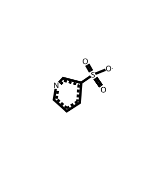 [O]S(=O)(=O)c1cccnc1